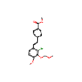 COCOc1c(OC)ccc(/C=C/c2ccc(C(=O)OC)cc2)c1Br